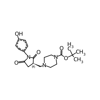 CC(C)(C)OC(=O)N1CCN(C[C@H]2CC(=O)N(c3ccc(O)cc3)C2=O)CC1